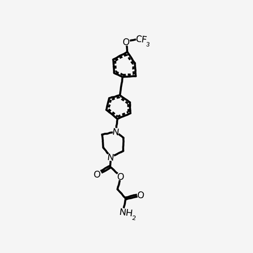 NC(=O)COC(=O)N1CCN(c2ccc(-c3ccc(OC(F)(F)F)cc3)cc2)CC1